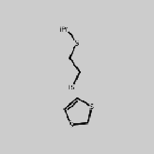 C1=CSCS1.CC(C)SCCS